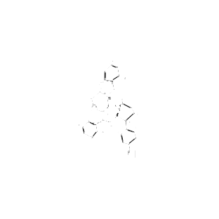 Clc1ccc(-c2cccnc2SC(c2ccccc2)[C@@H]2CN(Cc3ccccc3)CCO2)cc1